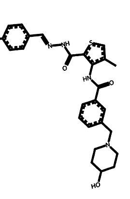 COc1ccc(C=NNC(=O)c2scc(C)c2NC(=O)c2cccc(CN3CCC(O)CC3)c2)cc1